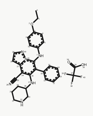 CCOc1ccc(Nc2c(-c3ccccc3)c(NC3CCCNC3)c(C#N)c3ccnn23)cc1.O=C(O)C(F)(F)F